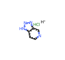 Cl.[H+].c1cc2[nH]nnc2cn1